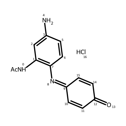 CC(=O)Nc1cc(N)ccc1N=C1C=CC(=O)C=C1.Cl